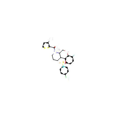 Cc1ccsc1C(=O)N1CCC[C@]2(S(=O)(=O)c3ccc(Cl)cc3)c3c(F)ccc(F)c3OC[C@H]12